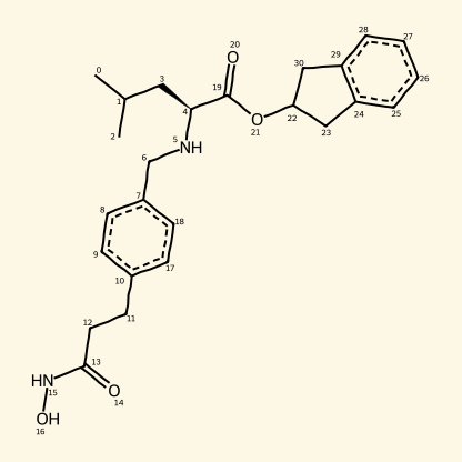 CC(C)C[C@H](NCc1ccc(CCC(=O)NO)cc1)C(=O)OC1Cc2ccccc2C1